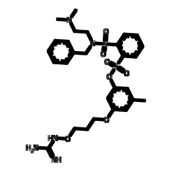 Cc1cc(OCCCONC(=N)N)cc(OS(=O)(=O)c2ccccc2S(=O)(=O)N(CCN(C)C)Cc2ccccc2)c1